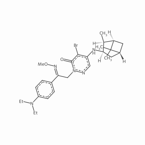 CCN(CC)c1ccc(C(Cn2ncc(N[C@@H]3C[C@H]4C[C@H]([C@@H]3C)C4(C)C)c(Br)c2=O)=NOC)cc1